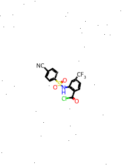 N#Cc1ccc(S(=O)(=O)Nc2cc(C(F)(F)F)ccc2C(=O)Cl)cc1